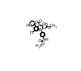 COC(=O)C[C@H](Nc1ccc(NC(=O)OC)cc1)C(=O)N1C(=O)O[C@]2(CCCNC2)c2cc(Cl)ccc21